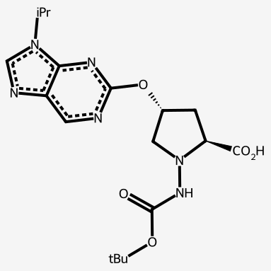 CC(C)n1cnc2cnc(O[C@@H]3C[C@@H](C(=O)O)N(NC(=O)OC(C)(C)C)C3)nc21